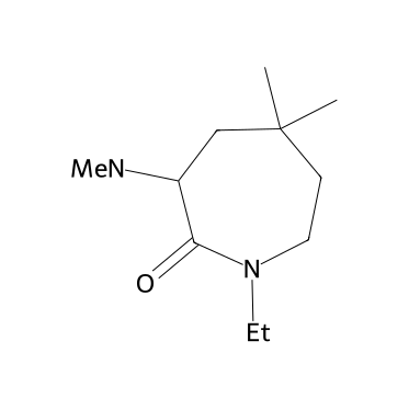 CCN1CCC(C)(C)CC(NC)C1=O